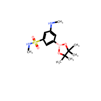 CNc1cc(B2OC(C)(C)C(C)(C)O2)cc(S(=O)(=O)NC)c1